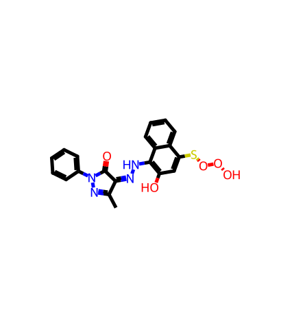 CC1=NN(c2ccccc2)C(=O)/C1=N\Nc1c(O)cc(SOOO)c2ccccc12